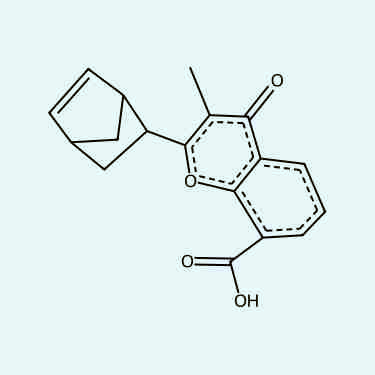 Cc1c(C2CC3C=CC2C3)oc2c(C(=O)O)cccc2c1=O